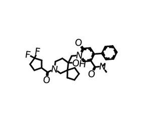 CN(C)C(=O)c1cn(CC2(O)CCN(C(=O)C3CCC(F)(F)C3)CC23CCCC3)c(=O)cc1-c1ccccc1